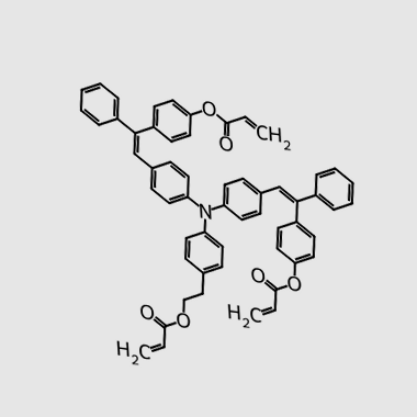 C=CC(=O)OCCc1ccc(N(c2ccc(C=C(c3ccccc3)c3ccc(OC(=O)C=C)cc3)cc2)c2ccc(C=C(c3ccccc3)c3ccc(OC(=O)C=C)cc3)cc2)cc1